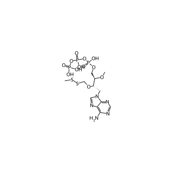 CO[C@H](COP(=O)(O)OP(=O)(O)OP(=O)(O)O)[C@H](Cn1cnc2c(N)ncnc21)OCSSC